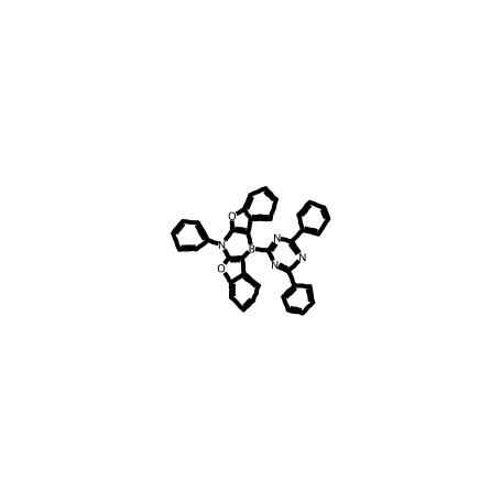 c1ccc(-c2nc(B3c4c(oc5ccccc45)N(c4ccccc4)c4oc5ccccc5c43)nc(-c3ccccc3)n2)cc1